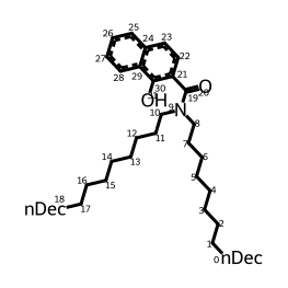 CCCCCCCCCCCCCCCCCCN(CCCCCCCCCCCCCCCCCC)C(=O)c1ccc2ccccc2c1O